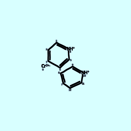 [Cr+3].c1cc[nH+]cc1.c1cc[nH+]cc1